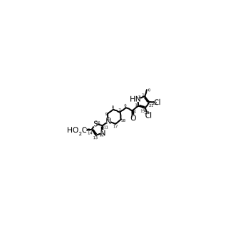 Cc1[nH]c(C(=O)CC2CCN(c3ncc(C(=O)O)s3)CC2)c(Cl)c1Cl